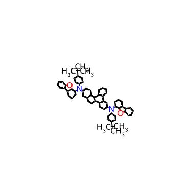 CC(C)(C)c1ccc(N(c2ccc3c(ccc4c5ccc(N(c6ccc(C(C)(C)C)cc6)c6cccc7c6oc6ccccc67)cc5c5ccccc5c34)c2)c2cccc3c2oc2ccccc23)cc1